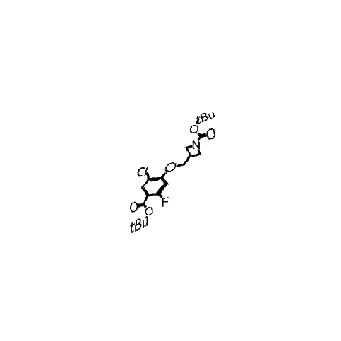 CC(C)(C)OC(=O)c1cc(Cl)c(OCC2CN(C(=O)OC(C)(C)C)C2)cc1F